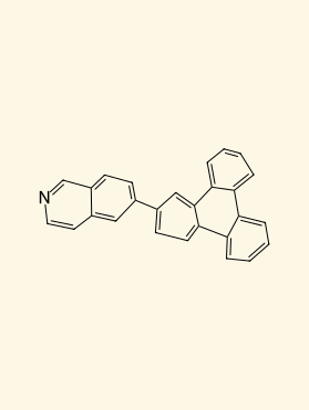 c1ccc2c(c1)c1ccccc1c1cc(-c3ccc4cnccc4c3)ccc21